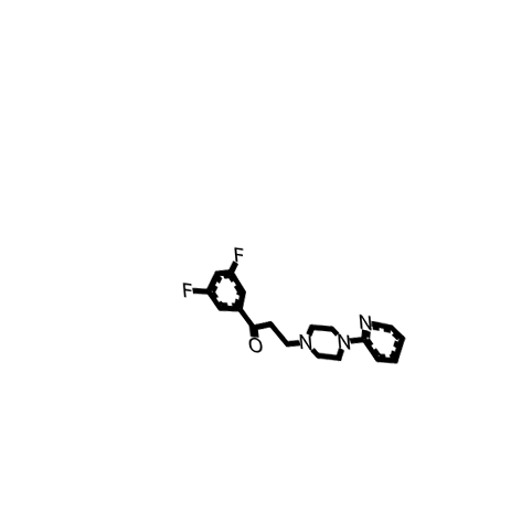 O=C(CCN1CCN(c2ccccn2)CC1)c1cc(F)cc(F)c1